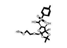 CCCCOCCOC[C@@]12O[C@@H](C(O)S(=O)(=O)c3ccc(C)cc3)[C@@H](O)[C@@H]1OC(C)(C)O2